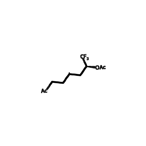 CC(=O)CC[CH]C[C@H](OC(C)=O)C(F)(F)F